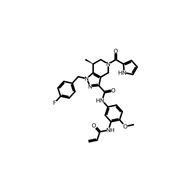 C=CC(=O)Nc1cc(NC(=O)c2nn(Cc3ccc(F)cc3)c3c2CN(C(=O)c2ccc[nH]2)C[C@@H]3C)ccc1OC